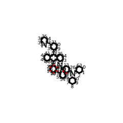 c1ccc(N(c2ccccc2)c2ccc(N(c3ccccc3)c3cccc4c(-c5cccc(-c6ccccn6)c5)c5ccccc5c(-c5cccc(-c6ccccn6)c5)c34)cc2)cc1